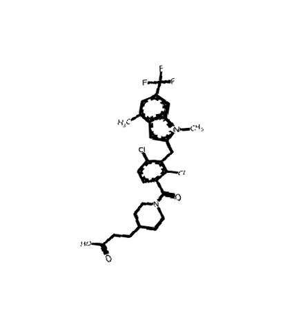 Cc1cc(C(F)(F)F)cc2c1cc(Cc1c(Cl)ccc(C(=O)N3CCC(CCC(=O)O)CC3)c1Cl)n2C